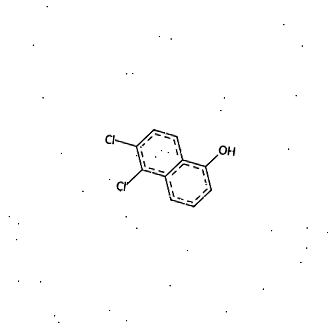 Oc1cccc2c(Cl)c(Cl)ccc12